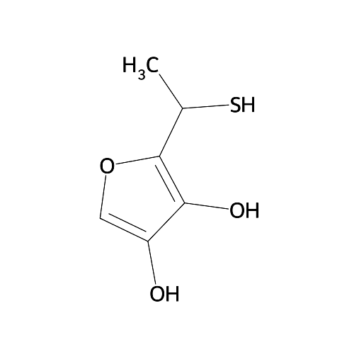 CC(S)c1occ(O)c1O